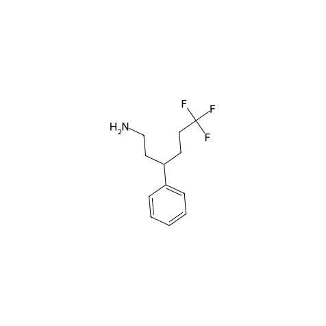 NCCC(CCC(F)(F)F)c1ccccc1